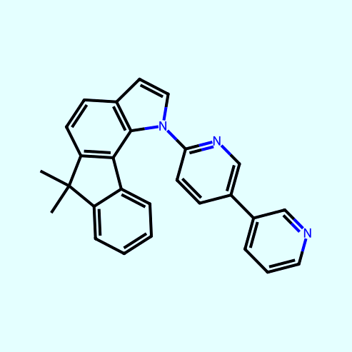 CC1(C)c2ccccc2-c2c1ccc1ccn(-c3ccc(-c4cccnc4)cn3)c21